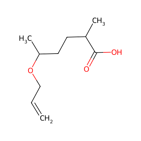 C=CCOC(C)CCC(C)C(=O)O